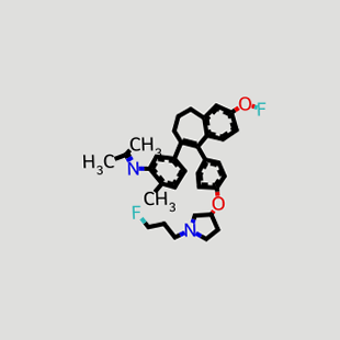 CC(C)=Nc1cc(C2=C(c3ccc(OC4CCN(CCCF)C4)cc3)c3ccc(OF)cc3CCC2)ccc1C